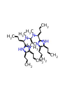 C=C/C=C(/c1nc(=C/C=C)/c(=C\C=C)[nH]1)N(C)C(=C(C)C)N(C)/C(=C\C=C)c1nc(=C/C=C)/c(=C\C=C)[nH]1